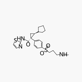 CCNCCCS(=O)(=O)c1ccc([C@@]2(C(=O)Nc3nccs3)C[C@H]2C2CCCC2)cc1